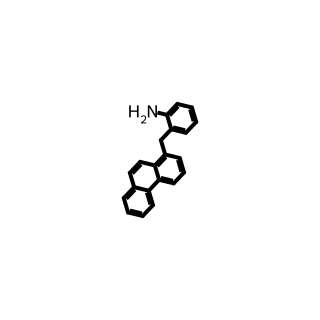 Nc1ccccc1Cc1cccc2c1ccc1ccccc12